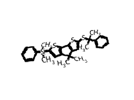 CC(C)(Sc1cc2c(s1)-c1sc([Si](C)(C)c3ccccc3)cc1C2(C)C)c1ccccc1